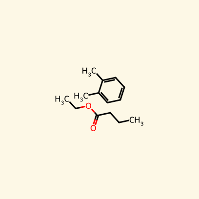 CCCC(=O)OCC.Cc1ccccc1C